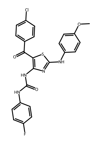 COc1ccc(Nc2nc(NC(=O)Nc3ccc(F)cc3)c(C(=O)c3ccc(Cl)cc3)s2)cc1